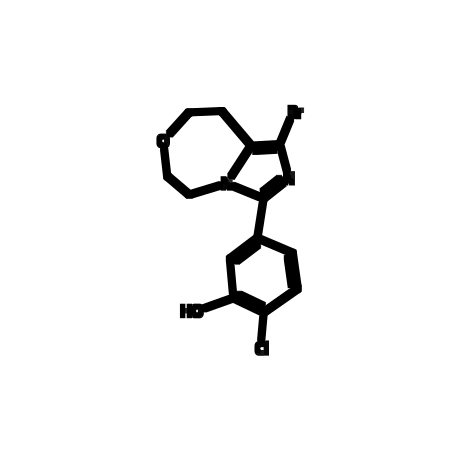 Oc1cc(-c2nc(Br)c3n2CCOCC3)ccc1Cl